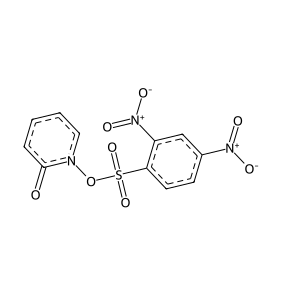 O=c1ccccn1OS(=O)(=O)c1ccc([N+](=O)[O-])cc1[N+](=O)[O-]